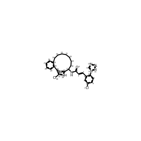 O=C(C=Cc1cc(Cl)ccc1-n1cnnn1)NC1CCCCCCCc2ccccc2-c2nc1[nH]c2Cl